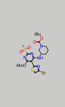 COc1nc(S(C)(=O)=O)nc(N[C@@H]2CCCN(C(=O)OC(C)(C)C)C2)c1-c1nc(Br)cs1